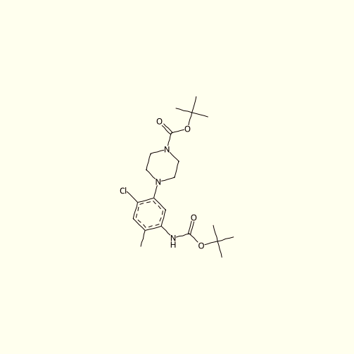 Cc1cc(Cl)c(N2CCN(C(=O)OC(C)(C)C)CC2)cc1NC(=O)OC(C)(C)C